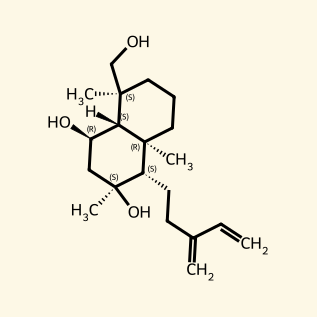 C=CC(=C)CC[C@H]1[C@]2(C)CCC[C@](C)(CO)[C@H]2[C@H](O)C[C@]1(C)O